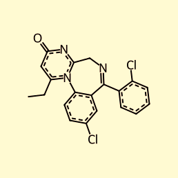 CCc1cc(=O)nc2n1-c1ccc(Cl)cc1C(c1ccccc1Cl)=NC2